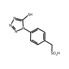 O=S(=O)(O)Cc1ccc(-n2nnnc2S)cc1